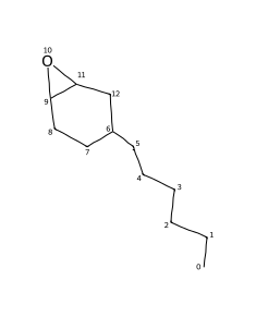 CCCCC[CH]C1CCC2OC2C1